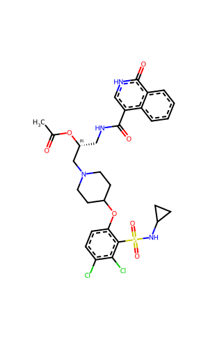 CC(=O)O[C@H](CNC(=O)c1c[nH]c(=O)c2ccccc12)CN1CCC(Oc2ccc(Cl)c(Cl)c2S(=O)(=O)NC2CC2)CC1